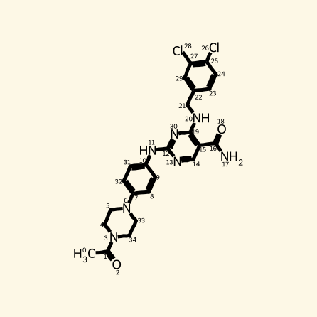 CC(=O)N1CCN(c2ccc(Nc3ncc(C(N)=O)c(NCc4ccc(Cl)c(Cl)c4)n3)cc2)CC1